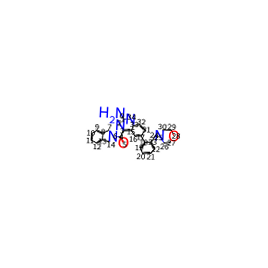 Nc1nc(C(=O)N2Cc3ccccc3C2)c2cc(-c3ccccc3CN3CCOCC3)ccc2n1